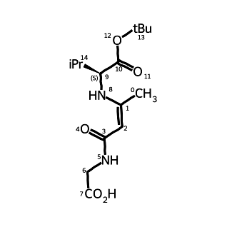 CC(=CC(=O)NCC(=O)O)N[C@H](C(=O)OC(C)(C)C)C(C)C